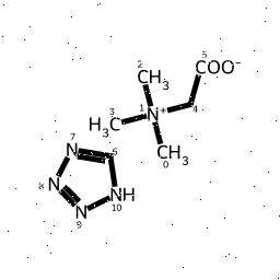 C[N+](C)(C)CC(=O)[O-].c1nnn[nH]1